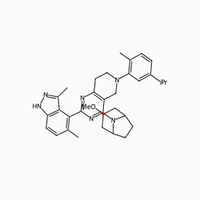 COC1CC2CCC(C1)N2c1nc(-c2c(C)ccc3[nH]nc(C)c23)nc2c1CN(c1cc(C(C)C)ccc1C)CC2